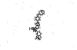 Cn1ncc2ccc(-c3n[nH]c4c3Cc3sc(-c5ccc(C=C6CCOCC6)cc5)cc3-4)cc21